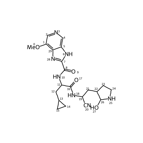 COc1cncc2[nH]c(C(=O)NC(CC3CC3)C(=O)NC(C#N)CC3CCNC3O)nc12